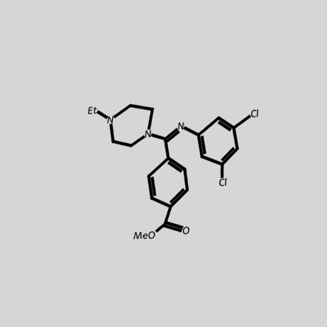 CCN1CCN(C(=Nc2cc(Cl)cc(Cl)c2)c2ccc(C(=O)OC)cc2)CC1